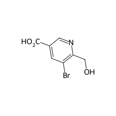 O=C(O)c1cnc(CO)c(Br)c1